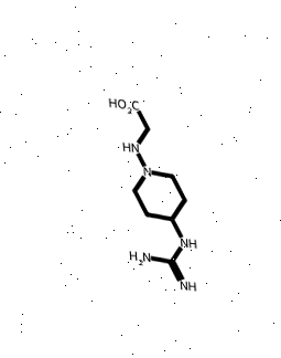 N=C(N)NC1CCN(NCC(=O)O)CC1